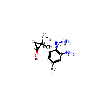 CC(=O)c1ccc(NN)c(N)c1.CC1(C)CC1=O